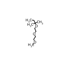 CCC(C)(C)OCCOCCOC